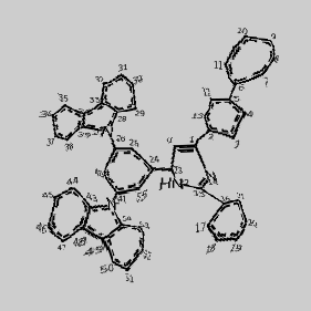 C1=C(c2ccc(-c3ccccc3)cc2)N=C(c2ccccc2)NC1c1cc(-n2c3ccccc3c3ccccc32)cc(-n2c3ccccc3c3ccccc32)c1